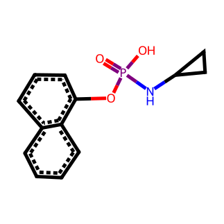 O=P(O)(NC1CC1)Oc1cccc2ccccc12